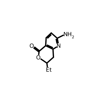 CCC1Cc2nc(N)ccc2C(=O)O1